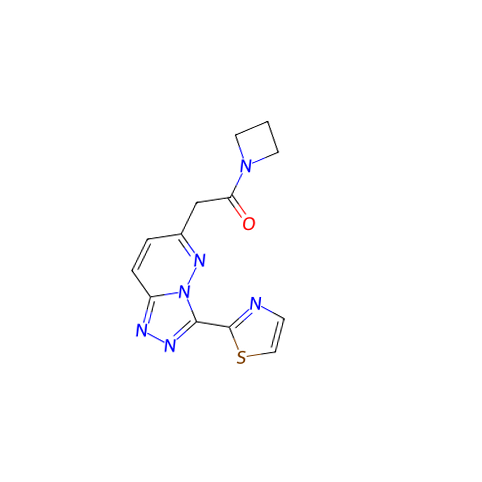 O=C(Cc1ccc2nnc(-c3nccs3)n2n1)N1CCC1